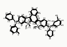 Cc1cccc(N(c2ccccc2)c2ccc3c(c2)[Si](C)(C)c2c4c(c5ccccc5c2-3)-c2ccc(N(c3ccccc3)c3cccc(C)c3)cc2[Si]4(C)C)c1